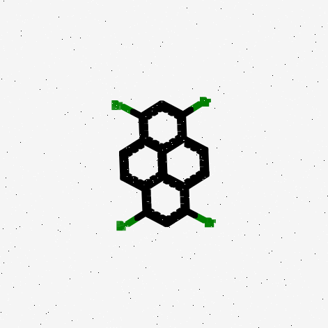 Brc1cc(Br)c2ccc3c(Br)cc(Br)c4ccc1c2c43